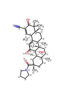 CC1(C)C(=O)C(C#N)=C[C@]2(C)C3=CC(=O)[C@]4(O)[C@@H]5C[C@@](C)(C(=O)N6CCCC6)CC[C@]5(C)CC[C@@]4(C)[C@]3(C)CC[C@@H]12